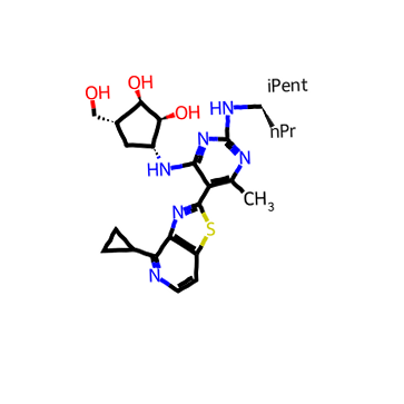 CCC[C@H](C)[C@@H](CCC)Nc1nc(C)c(-c2nc3c(C4CC4)nccc3s2)c(N[C@@H]2C[C@H](CO)[C@@H](O)[C@H]2O)n1